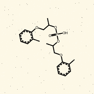 Cc1ccccc1OCC(C)OP(=O)(O)OC(C)COc1ccccc1C